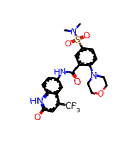 CN(C)S(=O)(=O)c1ccc(N2CCOCC2)c(C(=O)Nc2ccc3[nH]c(=O)cc(C(F)(F)F)c3c2)c1